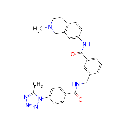 Cc1nnnn1-c1ccc(C(=O)NCc2cccc(C(=O)Nc3ccc4c(c3)CN(C)CC4)c2)cc1